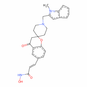 Cn1c(CN2CCC3(CC2)CC(=O)c2cc(C=CC(=O)NO)ccc2O3)cc2ccccc21